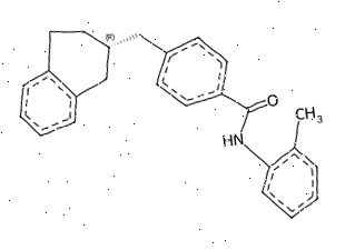 Cc1ccccc1NC(=O)c1ccc(C[C@H]2CCc3ccccc3C2)cc1